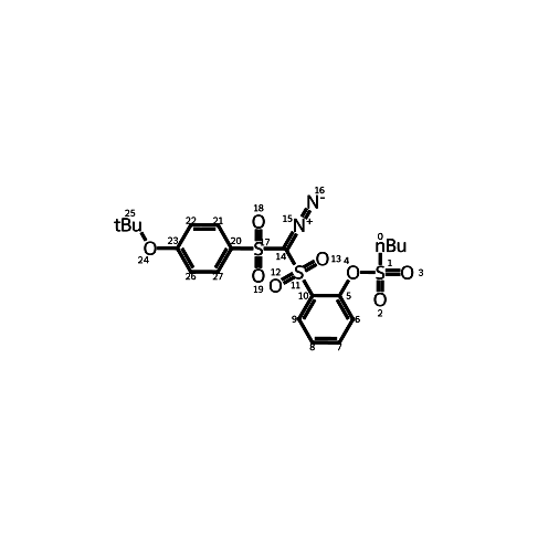 CCCCS(=O)(=O)Oc1ccccc1S(=O)(=O)C(=[N+]=[N-])S(=O)(=O)c1ccc(OC(C)(C)C)cc1